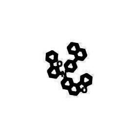 c1ccc2c(-c3ccc(N(c4ccc5ccc6oc7ccccc7c6c5c4)c4cccc5c4oc4ccccc45)cc3)cccc2c1